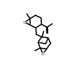 C=C(C)C1CCC2(C)OC2C1CC1(C)C2CC3OC3(C)C1C2